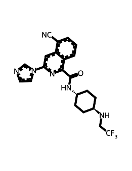 N#Cc1cccc2c(C(=O)N[C@H]3CC[C@H](NCC(F)(F)F)CC3)nc(-n3ccnc3)cc12